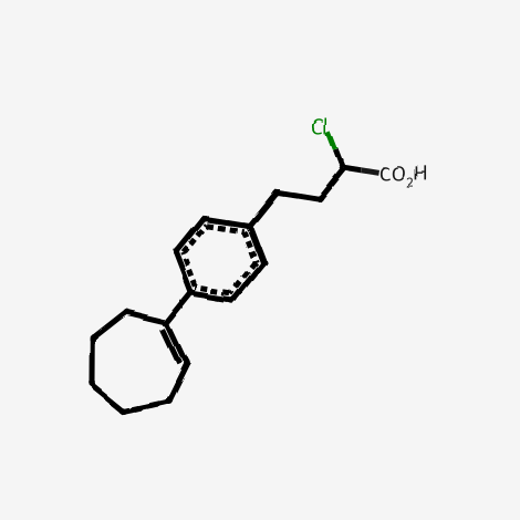 O=C(O)C(Cl)CCc1ccc(C2=CCCCCC2)cc1